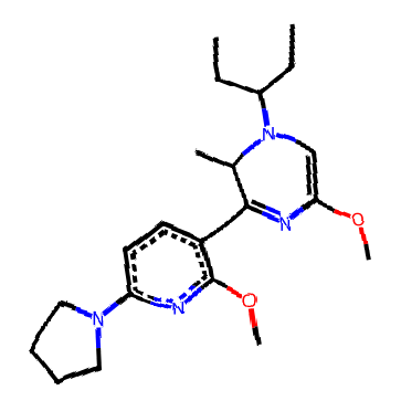 CCC(CC)N1C=C(OC)N=C(c2ccc(N3CCCC3)nc2OC)C1C